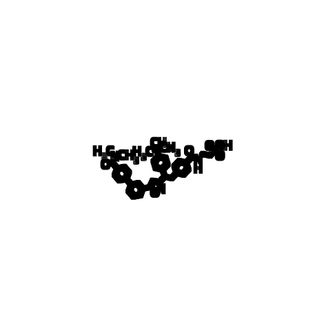 CN(C)C(=O)c1ccc(-c2cccc(-c3cc(C(Cc4ccc(C(=O)NCCS(=O)(=O)O)cc4)c4ccc(C(C)(C)C)cc4)no3)c2)cc1